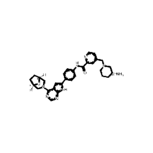 N[C@@H]1CCCN(Cc2ccnc(C(=O)Nc3ccc(-c4cc5c(N6C[C@H]7CC[C@@H](C6)O7)ncnc5[nH]4)cc3)c2)C1